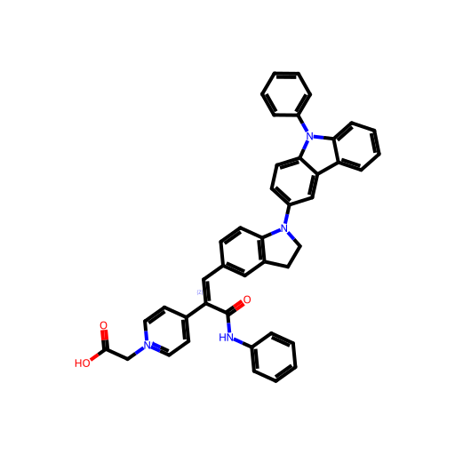 O=C(O)C[n+]1ccc(/C(=C/c2ccc3c(c2)CCN3c2ccc3c(c2)c2ccccc2n3-c2ccccc2)C(=O)Nc2ccccc2)cc1